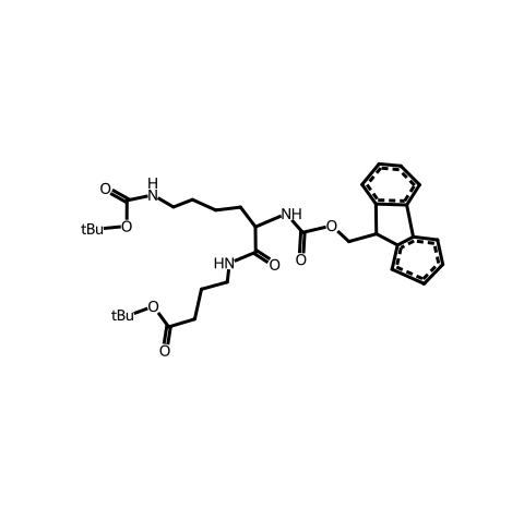 CC(C)(C)OC(=O)CCCNC(=O)C(CCCCNC(=O)OC(C)(C)C)NC(=O)OCC1c2ccccc2-c2ccccc21